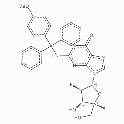 COc1ccc(C(Nc2nc3c(ncn3[C@@H]3O[C@](C)(CO)[C@@H](O)[C@H]3F)c(=O)[nH]2)(c2ccccc2)c2ccccc2)cc1